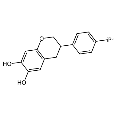 CC(C)c1ccc(C2COc3cc(O)c(O)cc3C2)cc1